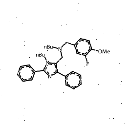 CCCCN(Cc1ccc(OC)c(F)c1)Cc1c(-c2ccccc2)nc(-c2ccccc2)n1CCCC